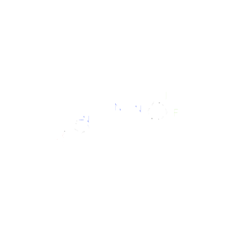 O=C1CCCc2c1ccn2CCCN1CCN(c2ccc(F)c(F)c2)CC1